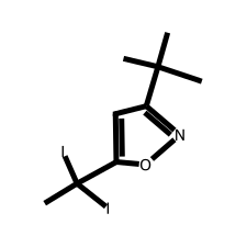 CC(C)(C)c1cc(C(C)(I)I)on1